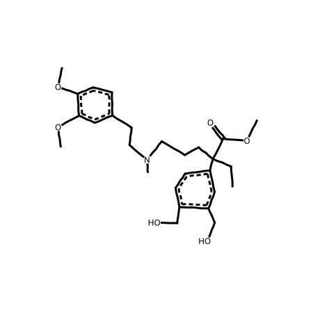 CCC(CCCN(C)CCc1ccc(OC)c(OC)c1)(C(=O)OC)c1ccc(CO)c(CO)c1